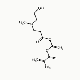 C=C(OC(=O)CCN(C)CCO)OC(=O)C(=C)C